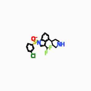 [O-][S+](c1cccc(Cl)c1)n1cc(C(F)F)c2c(C3CCNCC3)cccc21